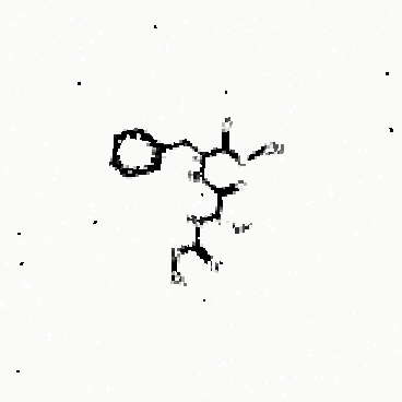 CCC[C@H](NC(=O)OC(C)(C)C)C(=O)N[C@@H](Cc1ccccc1)C(=O)OC(C)(C)C